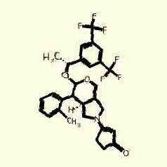 Cc1ccccc1C1C(O[C@H](C)c2cc(C(F)(F)F)cc(C(F)(F)F)c2)OCC2CN(C3=CC(=O)CC3)C[C@H]21